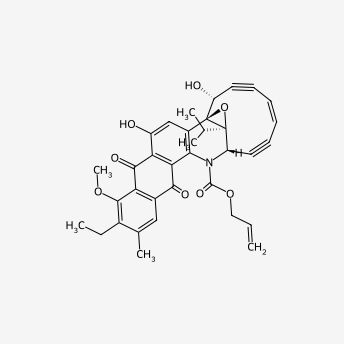 C=CCOC(=O)N1c2c(cc(O)c3c2C(=O)c2cc(C)c(CC)c(OC)c2C3=O)[C@@]23O[C@@]2(C(C)C)[C@@H]1C#C/C=C\C#C[C@H]3O